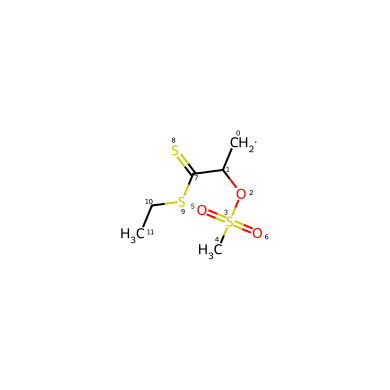 [CH2]C(OS(C)(=O)=O)C(=S)SCC